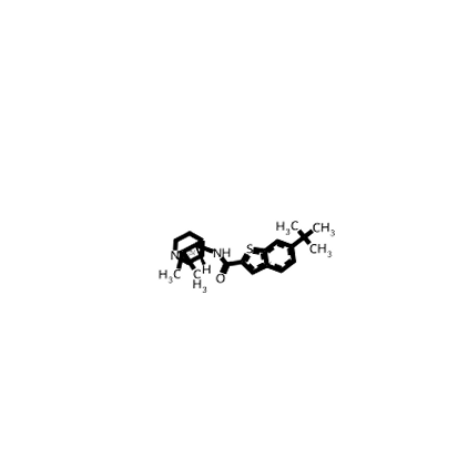 CC(C)(C)c1ccc2cc(C(=O)N[C@H]3C4CCN(CC4)C3(C)C)sc2c1